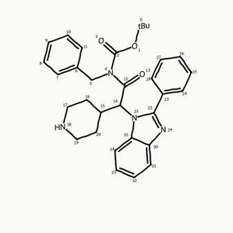 CC(C)(C)OC(=O)N(Cc1ccccc1)C(=O)C(C1CCNCC1)n1c(-c2ccccc2)nc2ccccc21